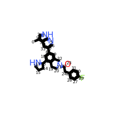 Cc1c[nH]c2ncc(-c3cc4c(c(C5CCCN5)c3)CCN(C(=O)Cc3ccc(F)cc3)C4)cc12